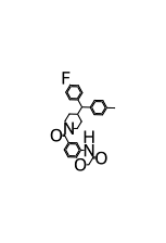 Cc1ccc(C(c2ccc(F)cc2)C2CCN(C(=O)c3ccc4c(c3)NC(=O)CO4)CC2)cc1